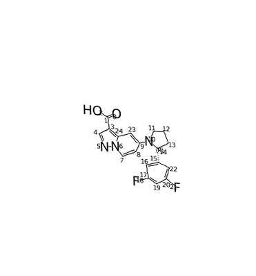 O=C(O)c1cnn2ccc(N3CCC[C@@H]3c3cc(F)cc(F)c3)cc12